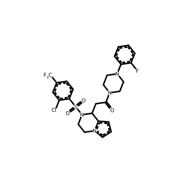 O=C(CC1c2cccn2CCN1S(=O)(=O)c1ccc(C(F)(F)F)cc1Cl)N1CCN(c2ccccc2F)CC1